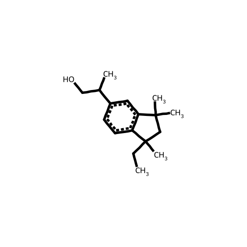 CCC1(C)CC(C)(C)c2cc(C(C)CO)ccc21